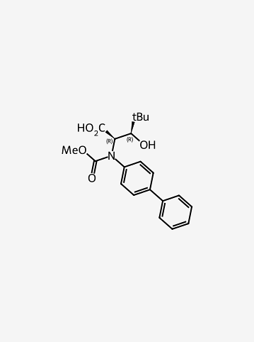 COC(=O)N(c1ccc(-c2ccccc2)cc1)[C@@H](C(=O)O)[C@H](O)C(C)(C)C